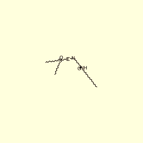 CCCCCCCCCCCCCCCCNC(=O)CCCCCCCN(C)CCCCCCCC(=O)N(CCCCCCCCCC)CCCCCCCCCC